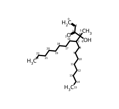 C=CC(=O)C(C)(O)[C](CCCCCCCC)CCCCCCCC